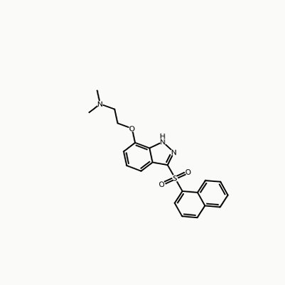 CN(C)CCOc1cccc2c(S(=O)(=O)c3cccc4ccccc34)n[nH]c12